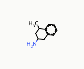 CC1CC(N)Cc2ccccc21